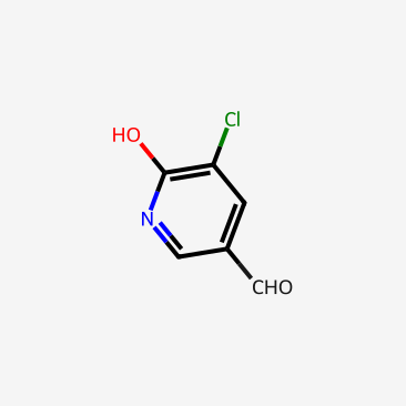 O=Cc1cnc(O)c(Cl)c1